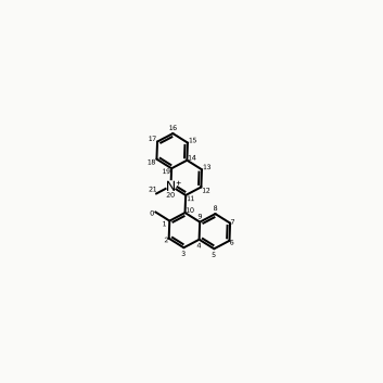 Cc1ccc2ccccc2c1-c1ccc2ccccc2[n+]1C